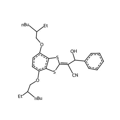 CCCCC(CC)COc1ccc(OCC(CC)CCCC)c2c1SC(=C(C#N)C(O)c1ccccc1)S2